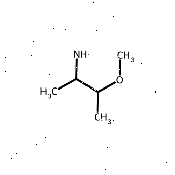 COC(C)C(C)[NH]